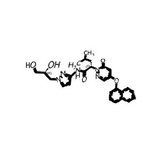 CC(C)C[C@@H](C(=O)Nc1ccn(C[C@@H](O)CO)n1)n1ncc(Oc2cccc3ccccc23)cc1=O